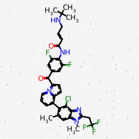 Cc1cc2c(nc(CC(F)(F)F)n2C)c(Cl)c1-c1cccn2c(C(=O)c3cc(F)c(NC(=O)/C=C/CNC(C)(C)C)c(F)c3)ccc12